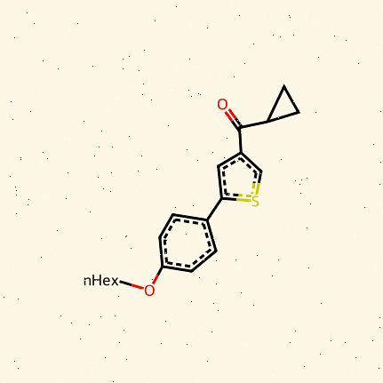 CCCCCCOc1ccc(-c2cc(C(=O)C3CC3)cs2)cc1